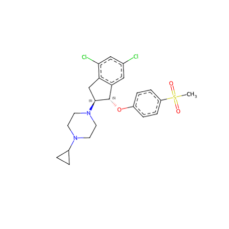 CS(=O)(=O)c1ccc(O[C@H]2c3cc(Cl)cc(Cl)c3C[C@@H]2N2CCN(C3CC3)CC2)cc1